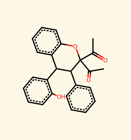 CC(=O)C1(C(C)=O)Oc2ccccc2C(c2ccccc2O)C1c1ccccc1